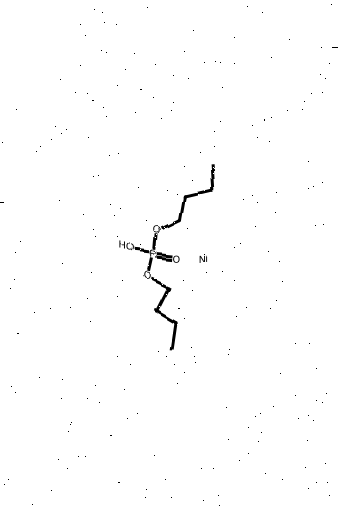 CCCCOP(=O)(O)OCCCC.[Ni]